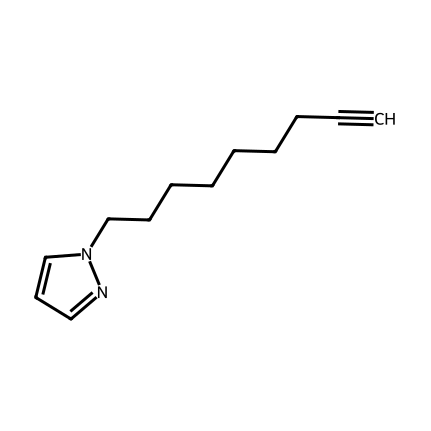 C#CCCCCCCCn1cccn1